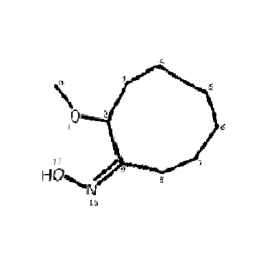 COC1CCCCCCC1=NO